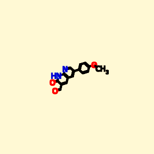 COc1ccc(-c2cnc3[nH]c(=O)c(C=O)cc3c2)cc1